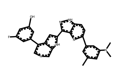 Cc1cc(-c2ccc3[nH]nc(-c4cc5c(-c6cc(O)cc(F)c6)cncc5[nH]4)c3n2)cc(N(C)C)c1